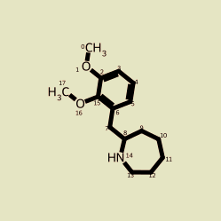 COc1cccc(CC2CCCCCN2)c1OC